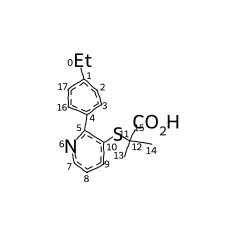 CCc1ccc(-c2ncccc2SC(C)(C)C(=O)O)cc1